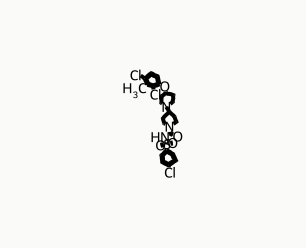 Cc1c(Cl)ccc(OC2CCN(C3CCN(C(=O)NS(=O)(=O)c4ccc(Cl)cc4)CC3)CC2)c1Cl